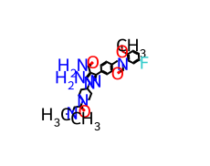 COc1ccc(F)cc1N(C=O)Cc1ccc(-c2nn(C3CCN(C(=O)CN(C)C)CC3)c(N)c2C(N)=O)cc1